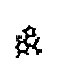 Cc1ccc(-n2nccn2)c(C(=O)O)n1.[LiH]